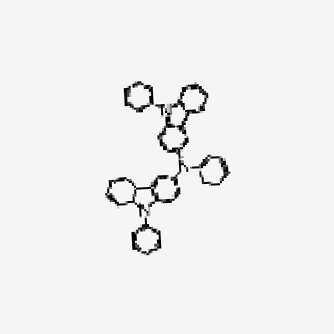 C1=CCCC(N(c2ccc3c(c2)C2C=CC=CC2N3c2ccccc2)c2ccc3c(c2)c2ccccc2n3-c2ccccc2)=C1